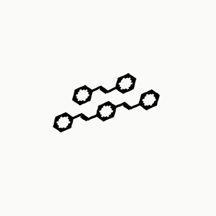 C(=Cc1ccc(C=Cc2ccccc2)cc1)c1ccccc1.C(=Cc1ccccc1)c1ccccc1